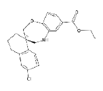 CCOC(=O)c1ccc2c(c1)NC[C@@]1(CCCc3cc(Cl)ccc31)CO2